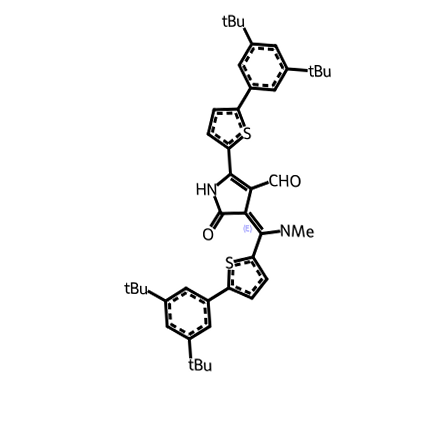 CN/C(=C1/C(=O)NC(c2ccc(-c3cc(C(C)(C)C)cc(C(C)(C)C)c3)s2)=C1C=O)c1ccc(-c2cc(C(C)(C)C)cc(C(C)(C)C)c2)s1